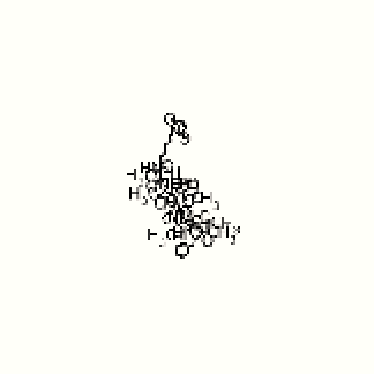 CO[C@H]([C@@H](C)C(=O)N[C@@H](Cc1ccccc1)C(=O)OC(C)(C)C)[C@@H]1CCCN1C(=O)C[C@@H](OC)[C@H](C1CCCC1)N(C)C(=O)[C@@H](NC(=O)C(C)(C)NC(=O)CCCCCN1C(=O)C=CC1=O)C(C)C